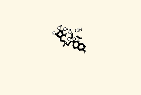 COCC(=O)O[C@@]1(CCN(C)CCc2cc(F)c(OC)c(OC)c2F)CCc2cc(F)ccc2[C@H]1C(C)C.Cl